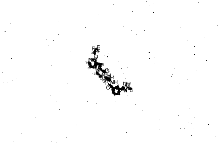 [2H]C([2H])(NC(=O)c1cccc(-c2nnn(C)n2)c1)C([2H])([2H])N1CCn2c(cc3c(OCC(F)(F)F)nccc32)C1=O